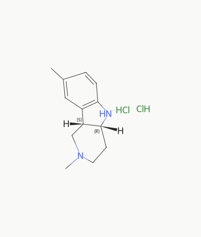 Cc1ccc2c(c1)[C@H]1CN(C)CC[C@H]1N2.Cl.Cl